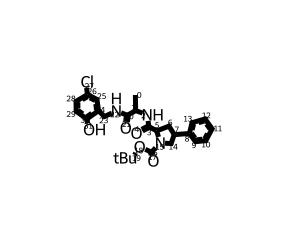 CC(NC(=O)C1CC(c2ccccc2)CN1C(=O)OC(C)(C)C)C(=O)NCc1cc(Cl)ccc1O